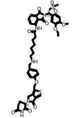 CCOc1cc([C@@H](CS(C)(=O)=O)N2C(=O)c3cccc(NC(=O)CCCCCCNCc4ccc(OCc5scc6c5CN([C@H]5CCC(=O)NC5=O)C6=O)cc4)c3C2=O)ccc1OC